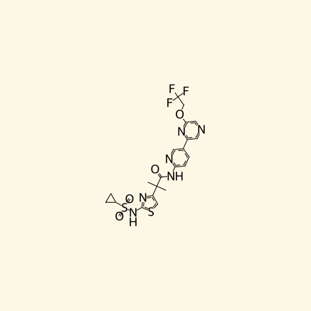 CC(C)(C(=O)Nc1ccc(-c2cncc(OCC(F)(F)F)n2)cn1)c1csc(NS(=O)(=O)C2CC2)n1